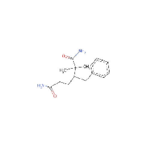 CC(C)(C(N)=O)C(CCC(N)=O)Cc1ccccc1